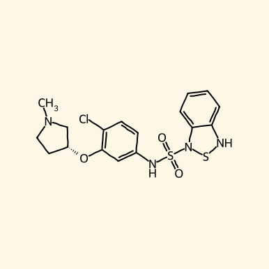 CN1CC[C@@H](Oc2cc(NS(=O)(=O)N3SNc4ccccc43)ccc2Cl)C1